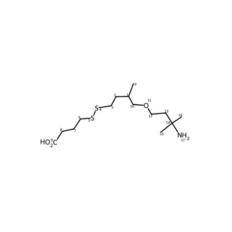 CC(CCSSCCCC(=O)O)COCCC(C)(C)N